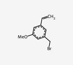 C=Cc1cc(CBr)cc(OC)c1